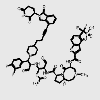 CN1CC[C@H]2CC[C@@H](C(=O)N[C@H](C=O)C(N[C@H](C=O)C(c3ccc(F)c(F)c3)N3CCC(CCC#Cc4cccc5c4CN(C4CCC(=O)NC4=O)C5=O)CC3)OC(N)=O)N2C(=O)[C@@H](NC(=O)c2cc3cc(C(F)(F)P(=O)(O)O)ccc3s2)C1